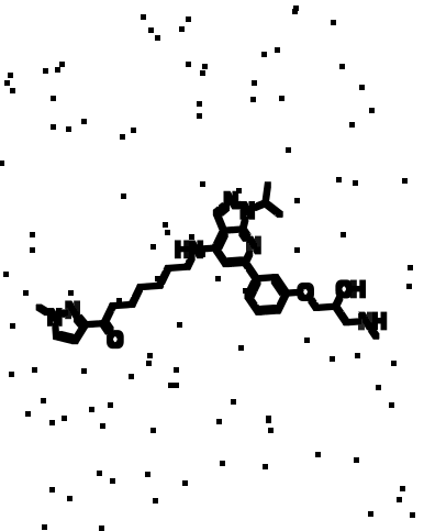 CNCC(O)COc1cccc(-c2cc(NCCCCCCC(=O)c3ccn(C)n3)c3cnn(C(C)C)c3n2)c1